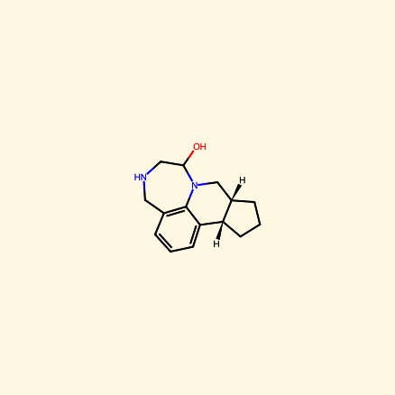 OC1CNCc2cccc3c2N1C[C@@H]1CCC[C@H]31